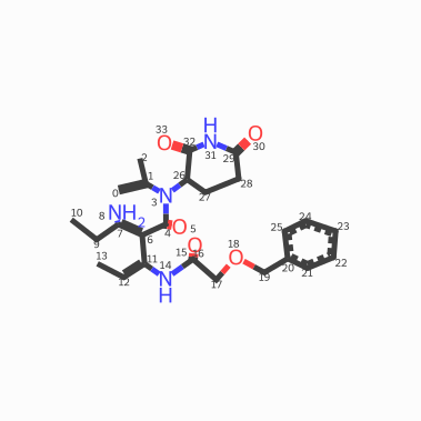 C=C(C)N(C(=O)C(=C(\N)CC)/C(=C\C)NC(=O)COCc1ccccc1)C1CCC(=O)NC1=O